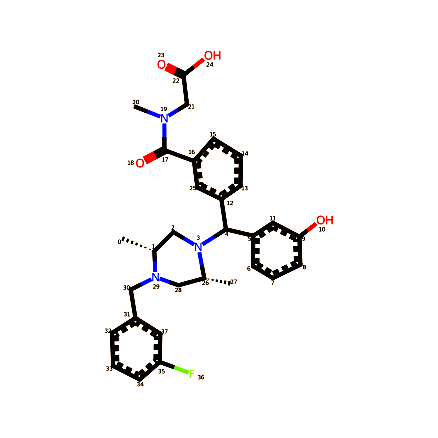 C[C@@H]1CN(C(c2cccc(O)c2)c2cccc(C(=O)N(C)CC(=O)O)c2)[C@H](C)CN1Cc1cccc(F)c1